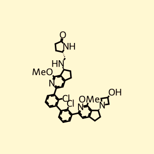 COc1nc(-c2cccc(-c3cccc(-c4cc5c(c(OC)n4)[C@H](N4CC(O)C4)CC5)c3Cl)c2Cl)cc2c1[C@@H](NC[C@@H]1CCC(=O)N1)CC2